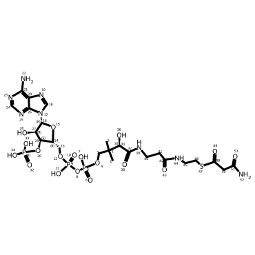 CC(C)(COP(=O)(O)OP(=O)(O)OC[C@H]1O[C@@H](n2cnc3c(N)ncnc32)[C@H](O)[C@@H]1OP(=O)(O)O)[C@@H](O)C(=O)NCCC(=O)NCCSC(=O)CC(N)=O